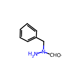 NN([C]=O)Cc1ccccc1